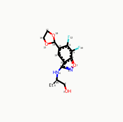 CC[C@H](CO)Nc1noc2c(F)c(F)c(C3OCCO3)cc12